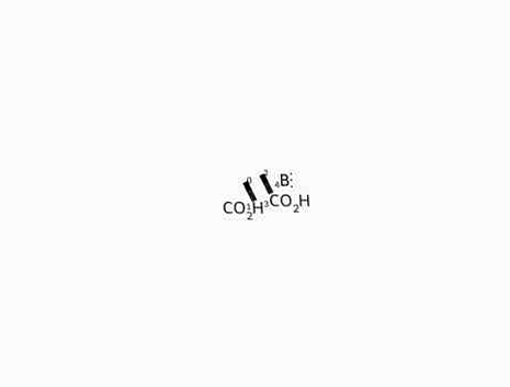 CC(=O)O.CC(=O)O.[B]